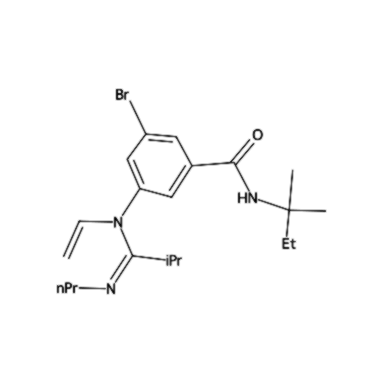 C=CN(/C(=N\CCC)C(C)C)c1cc(Br)cc(C(=O)NC(C)(C)CC)c1